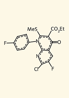 CCOC(=O)c1c(SC)n(-c2ccc(F)cc2)c2nc(Cl)c(F)cc2c1=O